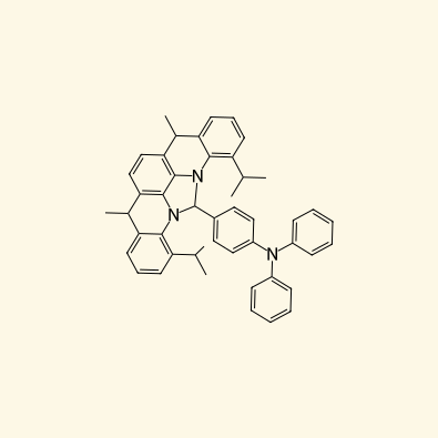 CC(C)c1cccc2c1N1c3c(ccc4c3N(c3c(C(C)C)cccc3C4C)C1c1ccc(N(c3ccccc3)c3ccccc3)cc1)C2C